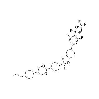 CCCC1CCC(C2COC(C3CCC(C(F)(F)OC4CCC(c5cc(F)c(C(F)(F)OC(F)(F)F)c(F)c5)CC4)CC3)OC2)CC1